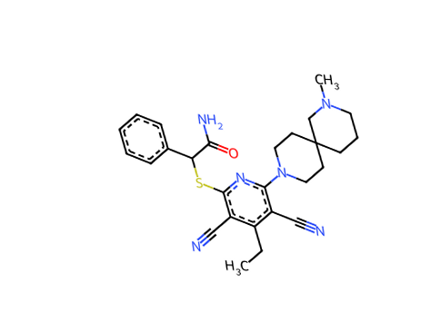 CCc1c(C#N)c(SC(C(N)=O)c2ccccc2)nc(N2CCC3(CCCN(C)C3)CC2)c1C#N